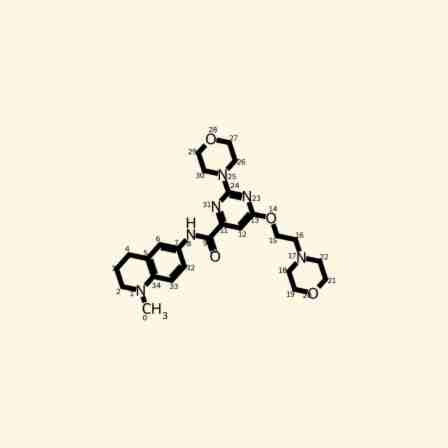 CN1CCCc2cc(NC(=O)c3cc(OCCN4CCOCC4)nc(N4CCOCC4)n3)ccc21